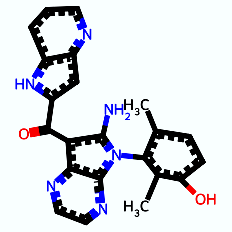 Cc1ccc(O)c(C)c1-n1c(N)c(C(=O)c2cc3ncccc3[nH]2)c2nccnc21